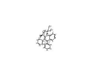 FC(F)(F)Oc1ccccc1Nc1nc(Cl)nc2cccc(-c3ccccc3)c12